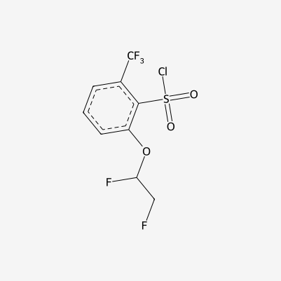 O=S(=O)(Cl)c1c(OC(F)CF)cccc1C(F)(F)F